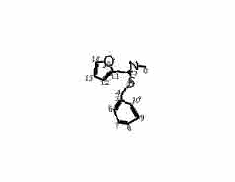 C/N=C(\SCc1ccccc1)c1ccco1